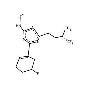 CC(C)Nc1nc(CC[C@H](C)C(F)(F)F)nc(C2=CCCC(F)C2)n1